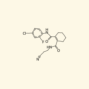 N#CCCNC(=O)C1=C(C(=O)Nc2ccc(Cl)cc2F)CCCC1